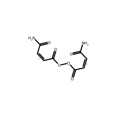 NC(=O)/C=C\C(=O)OOC(=O)/C=C\C(N)=O